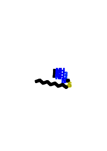 CCCCCCC[C]1CSC=N1.CN.CN.CN